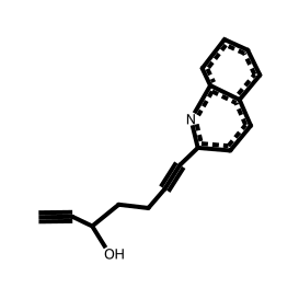 C#CC(O)CCC#Cc1ccc2ccccc2n1